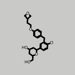 OCC1CC(O)CC(c2ccc(Cl)c(Cc3ccc(OCCC4COC4)cc3)c2)O1